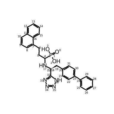 O=P(O)(O)C(CCc1cccc2ccccc12)N[C@@H](Cc1ccc(-c2ccccc2)cc1)c1nnn[nH]1